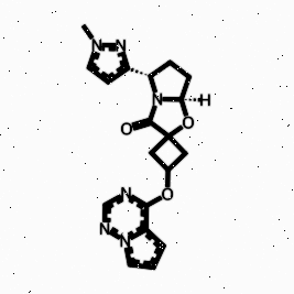 Cn1ccc([C@@H]2CC[C@H]3OC4(CC(Oc5ncnn6cccc56)C4)C(=O)N32)n1